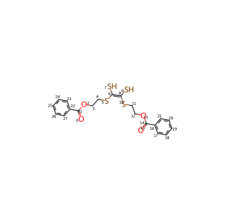 O=C(OCCS/C(S)=C(/S)SCCOC(=O)c1ccccc1)c1ccccc1